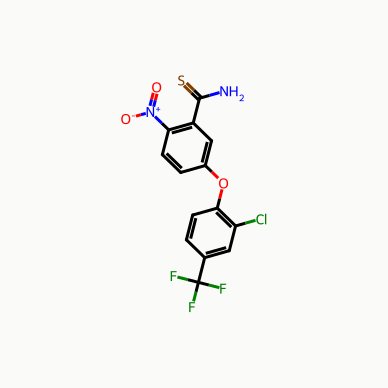 NC(=S)c1cc(Oc2ccc(C(F)(F)F)cc2Cl)ccc1[N+](=O)[O-]